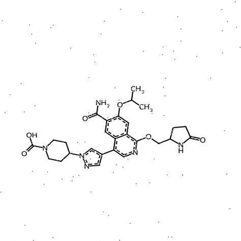 CC(C)Oc1cc2c(OCC3CCC(=O)N3)ncc(-c3cnn(C4CCN(C(=O)O)CC4)c3)c2cc1C(N)=O